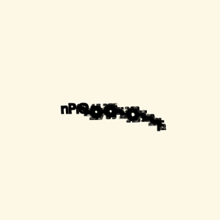 CCCOCc1ccc(-c2ccc(CC[C@H]3CC[C@H](C=CCCCF)CC3)cc2)cc1